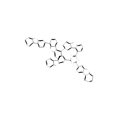 c1cc(-c2nc(-c3ccc4c(c3)sc3ccccc34)nc(-c3ccc4c(c3)sc3ccccc34)n2)c2c(c1)oc1ccc(-c3cccc4sc5c(-c6ccc7c(c6)sc6ccccc67)cccc5c34)cc12